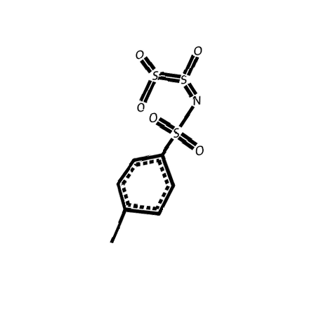 Cc1ccc(S(=O)(=O)N=S(=O)=S(=O)=O)cc1